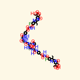 CCc1c2c(nc3cc(F)c(OCNC(=O)OCc4ccc(NC(=O)[C@H](C)NC(=O)[C@H](C)NC(=O)CN(CCN5C(=O)C=CC5=O)CC(=O)N[C@@H](C)C(=O)N[C@@H](C)C(=O)Nc5ccc(COC(=O)NCOc6cc7c(CC)c8c(nc7cc6F)-c6cc7c(c(=O)n6C8)COC(=O)[C@]7(O)CC)cc5)cc4)cc13)-c1cc3c(c(=O)n1C2)COC(=O)[C@]3(O)CC